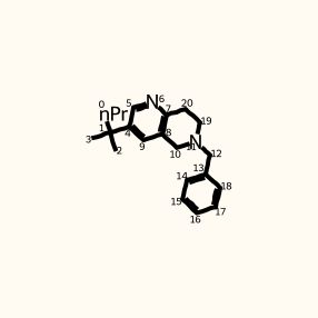 CCCC(C)(C)c1cnc2c(c1)CN(Cc1ccccc1)CC2